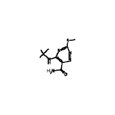 CSc1ncc(C(N)=O)c(NC(C)(C)C)n1